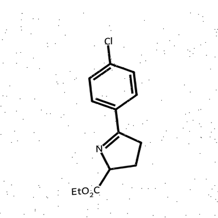 CCOC(=O)C1CCC(c2ccc(Cl)cc2)=N1